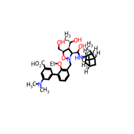 CCOc1c(CN2O[C@@H](CO)[C@@H]([C@H](C)O)[C@H]2C(O)N[C@H]2C[C@H]3C[C@@H]([C@@H]2C)C3(C)C)cccc1-c1cc(C(=O)O)cc(N(C)C)c1